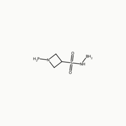 BNS(=O)(=O)C1CN(P)C1